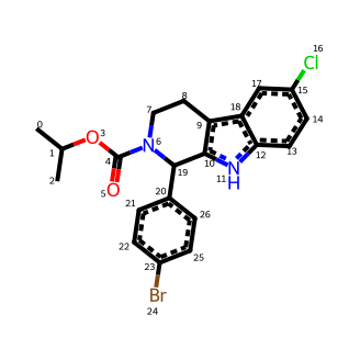 CC(C)OC(=O)N1CCc2c([nH]c3ccc(Cl)cc23)C1c1ccc(Br)cc1